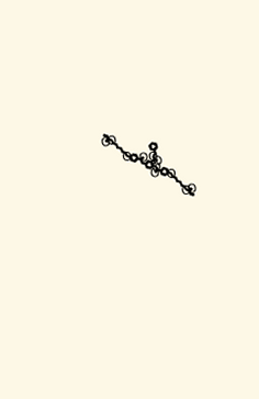 C=CC(=O)OCCCCCCOc1ccc(C(=O)Cc2ccc(OC(=O)c3ccc(OCCCCCCOC(=O)C=C)cc3)c(C(=O)OCc3ccccc3)c2)cc1